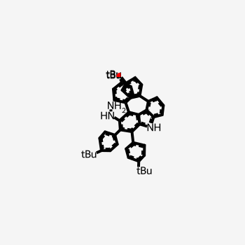 CC(C)(C)c1ccc(-c2c(NN)c(-c3ccc(C(C)(C)C)cc3)c3c([nH]c4cccc(-c5ccc(C(C)(C)C)cc5)c43)c2-c2ccc(C(C)(C)C)cc2)cc1